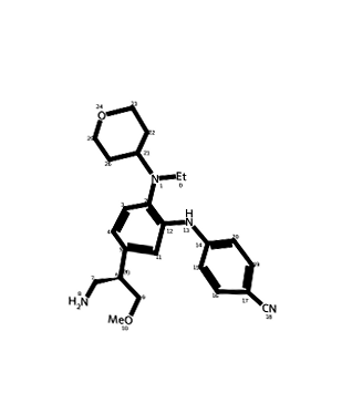 CCN(c1ccc([C@H](CN)COC)cc1Nc1ccc(C#N)cc1)C1CCOCC1